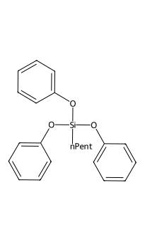 CCCCC[Si](Oc1ccccc1)(Oc1ccccc1)Oc1ccccc1